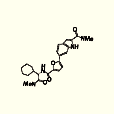 CNC(=O)c1cc2ccc(-c3ccc(C(=O)N[C@H](C(=O)NC)C4CCCCC4)o3)cc2[nH]1